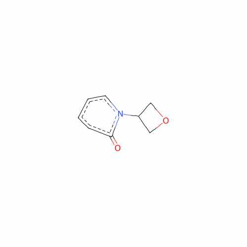 O=c1ccccn1C1COC1